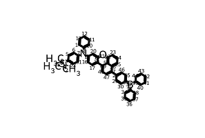 C[Si](C)(C)c1ccc(N(c2ccccc2)c2ccc3c(c2)Oc2cccc4c(-c5ccc(B(c6ccccc6)c6ccccc6)cc5)ccc-3c24)cc1